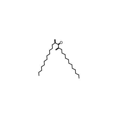 C=C(CCCCCCCCCCCC)C(=O)C(=C)CCCCCCCCCCCC